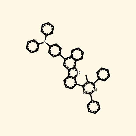 Cc1c(-c2ccccc2)nc(-c2ccccc2)nc1-c1cccc2c1oc1c3ccccc3c(-c3ccc(N(c4ccccc4)c4ccccc4)cc3)cc21